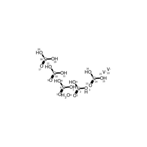 O.O=[Si](O)O.O=[Si](O)O.O=[Si](O)O.O=[Si](O)O.O=[Si](O)O.[V].[V]